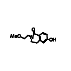 COCCN1CCc2cc(O)ccc2C1=O